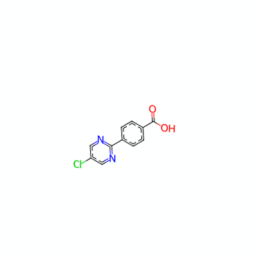 O=C(O)c1ccc(-c2ncc(Cl)cn2)cc1